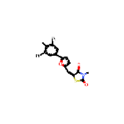 Cc1c(C(C)C)cc(-c2ccc(/C=C3/SC(=O)N(C)C3=O)o2)cc1C(C)C